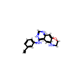 C#Cc1cccc(Nc2ncnc3cc4c(cc23)NCCO4)c1